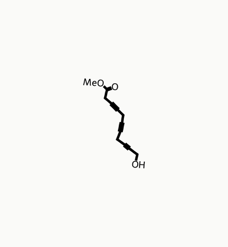 COC(=O)CC#CCC#CCC#CCO